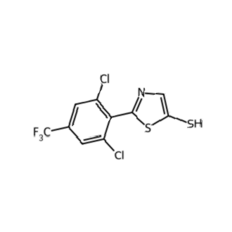 FC(F)(F)c1cc(Cl)c(-c2ncc(S)s2)c(Cl)c1